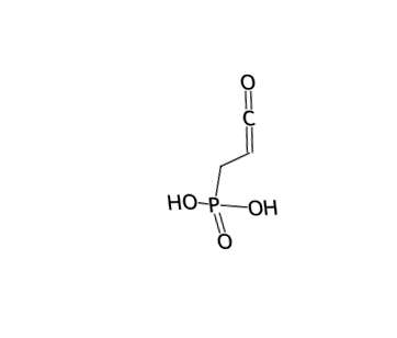 O=C=CCP(=O)(O)O